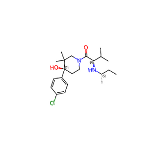 CC[C@H](C)N[C@@H](C(=O)N1CC[C@](O)(c2ccc(Cl)cc2)C(C)(C)C1)C(C)C